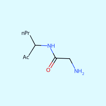 CCCC(NC(=O)CN)C(C)=O